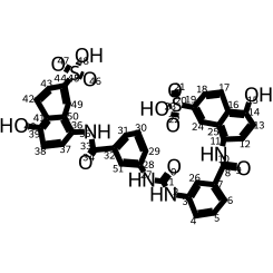 O=C(Nc1cccc(C(=O)Nc2ccc(O)c3ccc(S(=O)(=O)O)cc23)c1)Nc1cccc(C(=O)Nc2ccc(O)c3ccc(S(=O)(=O)O)cc23)c1